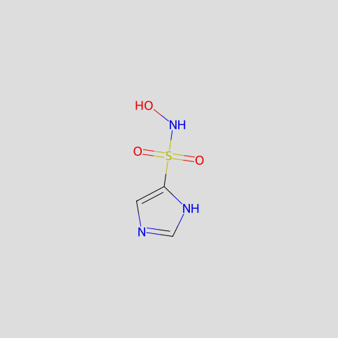 O=S(=O)(NO)c1cnc[nH]1